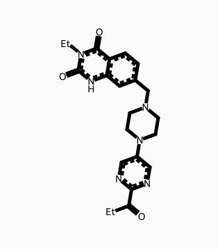 CCC(=O)c1ncc(N2CCN(Cc3ccc4c(=O)n(CC)c(=O)[nH]c4c3)CC2)cn1